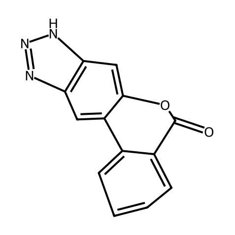 O=c1oc2cc3[nH]nnc3cc2c2ccccc12